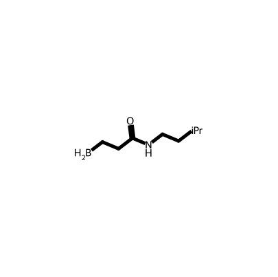 BCCC(=O)NCCC(C)C